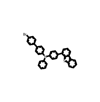 Brc1ccc(-c2ccc(N(c3ccccc3)c3ccc(-c4cccc5c4sc4ccccc45)cc3)cc2)cc1